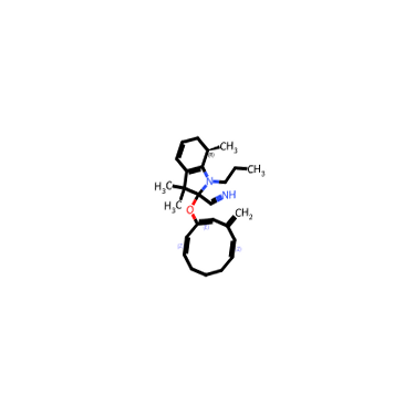 C=C1/C=C\CCC/C=C\C(OC2(C=N)N(CCC)C3=C(C=CC[C@H]3C)C2(C)C)=C/1